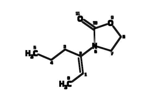 C/C=C(\CCC)N1CCOC1=O